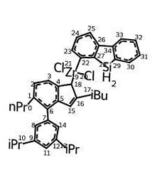 CCCc1ccc2c(c1-c1cc(C(C)C)cc(C(C)C)c1)C=C(C(C)CC)[CH]2[Zr]([Cl])([Cl])[c]1cccc2c1[SiH2]c1ccccc1-2